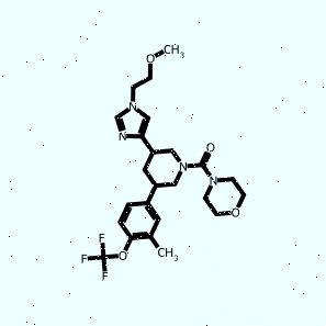 COCCn1cnc(C2CC(c3ccc(OC(F)(F)F)c(C)c3)CN(C(=O)N3CCOCC3)C2)c1